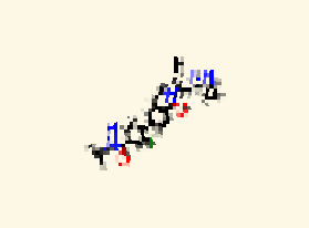 C[C@H](CC(=N)C1CCC1)N1CCc2cc(-c3ccc(C(=O)NC4CC4)cc3F)ccc2C1=O